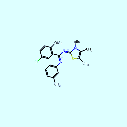 CCCCn1c(C)c(C)s/c1=N\C(=N\c1cccc(C)c1)c1cc(Cl)ccc1OC